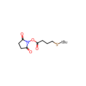 CC(C)(C)SCCCC(=O)ON1C(=O)CCC1=O